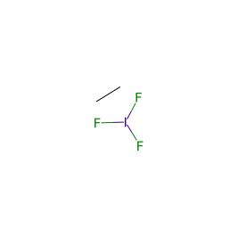 CC.FI(F)F